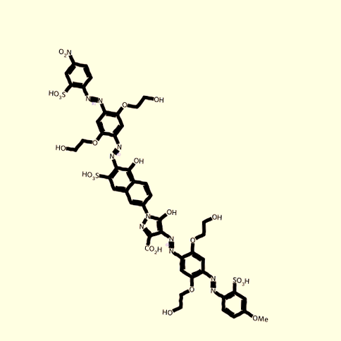 COc1ccc(N=Nc2cc(OCCO)c(/N=N/c3c(C(=O)O)nn(-c4ccc5c(O)c(/N=N/c6cc(OCCO)c(/N=N/c7ccc([N+](=O)[O-])cc7S(=O)(=O)O)cc6OCCO)c(S(=O)(=O)O)cc5c4)c3O)cc2OCCO)c(S(=O)(=O)O)c1